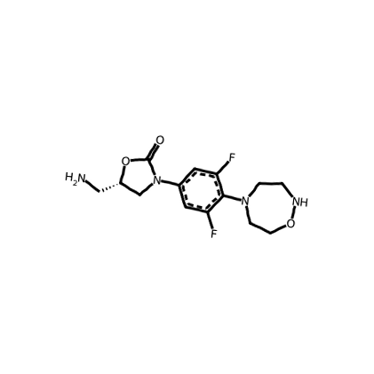 NC[C@H]1CN(c2cc(F)c(N3CCNOCC3)c(F)c2)C(=O)O1